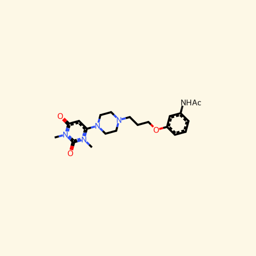 CC(=O)Nc1cccc(OCCCN2CCN(c3cc(=O)n(C)c(=O)n3C)CC2)c1